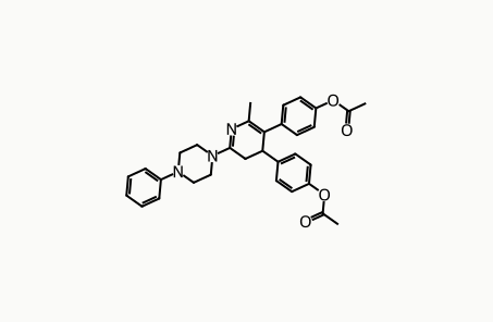 CC(=O)Oc1ccc(C2=C(C)N=C(N3CCN(c4ccccc4)CC3)CC2c2ccc(OC(C)=O)cc2)cc1